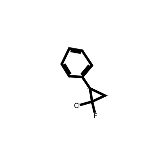 FC1(Cl)C[C]1c1ccccc1